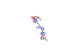 CCOc1ncc(-c2cccc(NCCCCCc3noc(C4(C)COC4)n3)c2)cn1